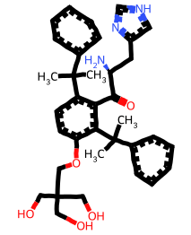 CC(C)(c1ccccc1)c1ccc(OCC(CO)(CO)CO)c(C(C)(C)c2ccccc2)c1C(=O)[C@@H](N)Cc1c[nH]cn1